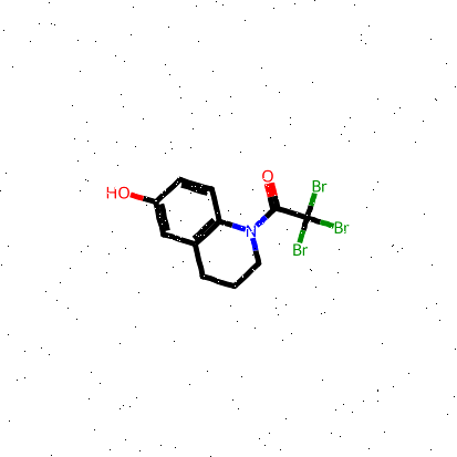 O=C(N1CCCc2cc(O)ccc21)C(Br)(Br)Br